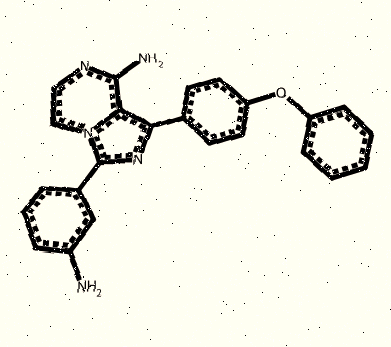 Nc1cccc(-c2nc(-c3ccc(Oc4ccccc4)cc3)c3c(N)nccn23)c1